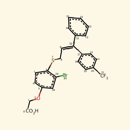 O=C(O)COc1ccc(SCC=C(c2ccccc2)c2ccc(C(F)(F)F)cc2)c(Br)c1